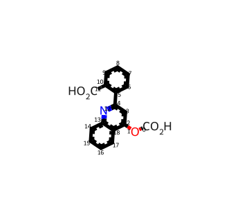 O=C(O)Oc1cc(-c2ccccc2C(=O)O)nc2ccccc12